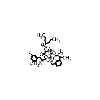 CCCC(CCC)S(=O)(=O)C[C@@H](NC(=O)OC(C)C)C(=O)O[C@H](CNCc1cccc(CC)c1)[C@@H](N)Cc1cc(F)cc(F)c1